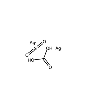 O=C(O)O.O=[Si]=O.[Ag].[Ag]